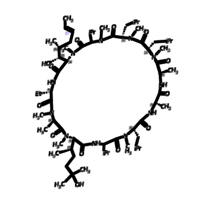 C/C=C/C[C@@H](C)[C@@H](O)[C@H]1C(=O)N[C@@H](CC)C(=O)N(C)[C@H](C)C(=O)N(C)[C@@H]([C@H](C)CCC(C)(C)O)C(=O)NC(C(C)C)C(=O)N(C)[C@@H](CC(C)C)C(=O)N[C@@H](C)C(=O)N[C@H](C)C(=O)N(C)[C@@H](CC(C)C)C(=O)N(C)[C@@H](CC(C)C)C(=O)N(C)C(C(C)C)C(=O)N1C